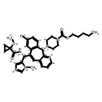 CCCCCOC(=O)N1CCN([C@H]2c3ccc(Cl)cc3C([C@@H](NC(=O)C3(OC)CC3)c3cncn3C)=Cc3cccnc32)CC1